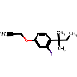 C#CCOc1ccc(C(C)(C)CC)c(I)c1